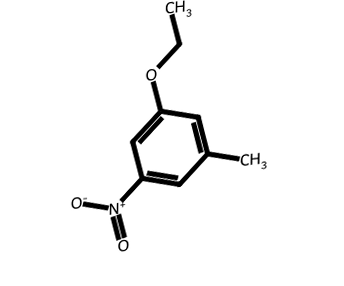 CCOc1cc(C)cc([N+](=O)[O-])c1